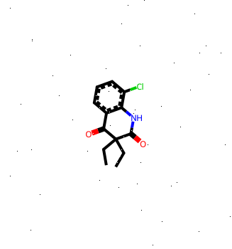 CCC1(CC)C(=O)Nc2c(Cl)cccc2C1=O